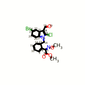 CON=C(C(=O)OC)c1ccccc1Cn1c(Cl)c(C=O)c2cc(Br)ccc21